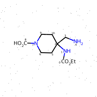 CCOC(=O)NC1(CN)CCN(C(=O)O)CC1